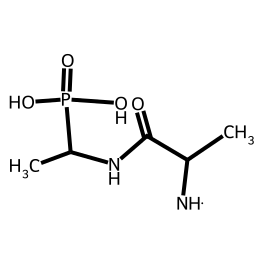 CC([NH])C(=O)NC(C)P(=O)(O)O